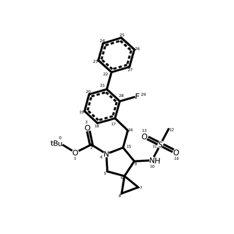 CC(C)(C)OC(=O)N1CC2(CC2)C(NS(C)(=O)=O)C1Cc1cccc(-c2ccccc2)c1F